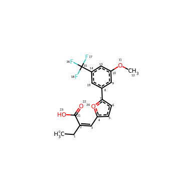 CCC(=Cc1ccc(-c2cc(OC)cc(C(F)(F)F)c2)o1)C(=O)O